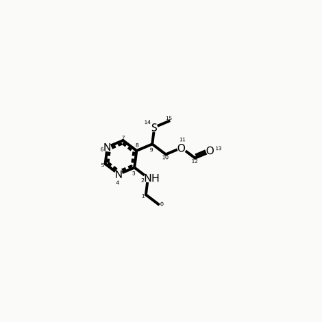 CCNc1ncncc1C(COC=O)SC